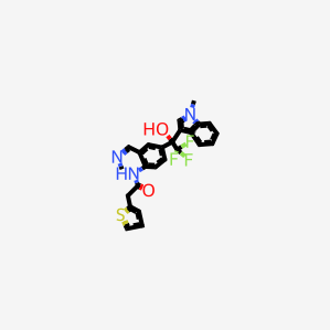 C/N=C\c1cc(C(O)(c2cn(C)c3ccccc23)C(F)(F)F)ccc1NC(=O)Cc1cccs1